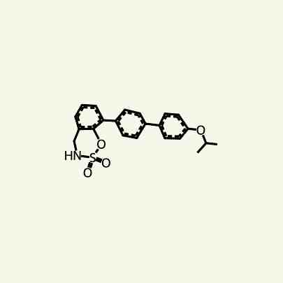 CC(C)Oc1ccc(-c2ccc(-c3cccc4c3OS(=O)(=O)NC4)cc2)cc1